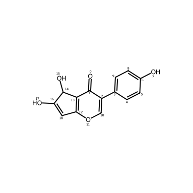 O=c1c(-c2ccc(O)cc2)coc2c1C(O)C(O)=C2